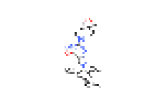 Cc1cc(C)c(-n2cc3c(=O)[nH]c(N4CCC5(CC4)COC5)nc3n2)c(C)c1